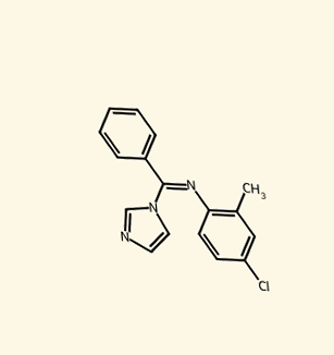 Cc1cc(Cl)ccc1N=C(c1ccccc1)n1ccnc1